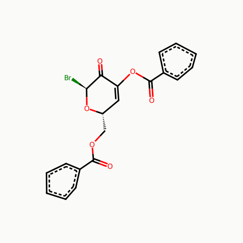 O=C(OC[C@H]1C=C(OC(=O)c2ccccc2)C(=O)[C@H](Br)O1)c1ccccc1